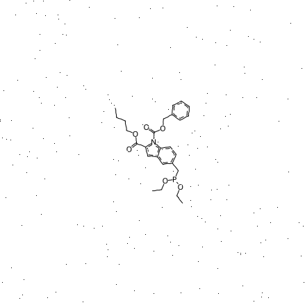 CCCCOC(=O)c1cc2cc(CP(OCC)OCC)ccc2n1C(=O)OCc1ccccc1